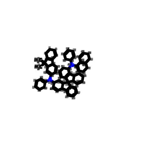 CC1(C)C2=C(C=CCC2)C2C=CC(N(C3=CC=CCC3)C3C=CC4c5ccccc5C5(C6=C(C7CCC=CC75)C(N(C5=CCCC7=C5C=CCC7)C5C=CC=CC5)CC=C6)C4C3)=CC21